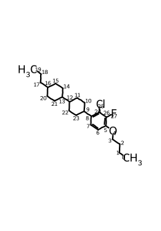 CCCCOc1ccc(C2CCC(C3CCC(CCC)CC3)CC2)c(Cl)c1F